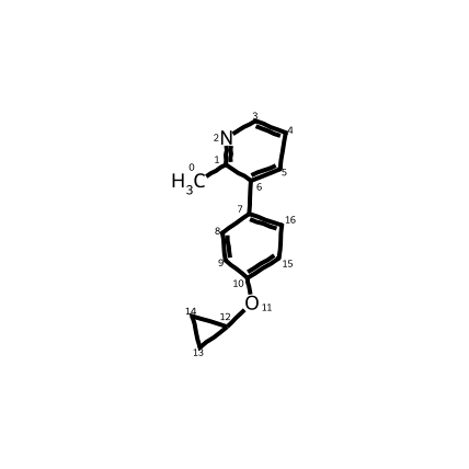 Cc1ncccc1-c1ccc(OC2CC2)cc1